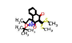 CCCC1(NOC(C)(C)C)C(=O)C(=C(SC)SC)C(=O)c2ccccc21